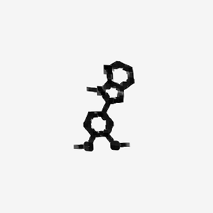 COc1ccc(-c2cc3cccnc3n2C)cc1OC